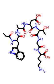 CCC(=O)NC(Cc1c[nH]c2ccccc12)C(=O)NC(C)C(=O)NC(CC(=O)O)C(=O)NC(C(=O)NCC(=O)NC(CCCN)C(=O)O)C(C)O